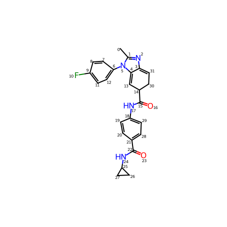 Cc1nc2c(n1-c1ccc(F)cc1)=CC(C(=O)Nc1ccc(C(=O)NC3CC3)cc1)CC=2